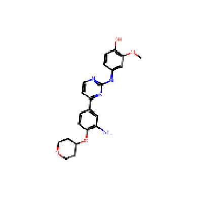 COc1cc(Nc2nccc(-c3ccc(OC4CCOCC4)c(N)c3)n2)ccc1O